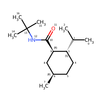 CC(C)[C@@H]1CC[C@@H](C)C[C@H]1C(=O)NC(C)(C)C